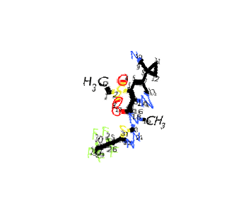 CCS(=O)(=O)c1cc(C2(C#N)CC2)cnc1C(=O)N(C)c1nnc(C(F)(F)C(F)(F)F)s1